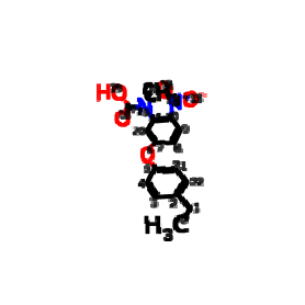 CCc1ccc(Oc2ccc([N+](=O)[O-])c(N(C)C(=O)O)c2)cc1